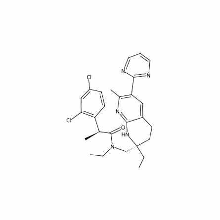 CCN(C[C@@]1(CC)CCc2cc(-c3ncccn3)c(C)nc2N1)C(=O)[C@@H](C)c1ccc(Cl)cc1Cl